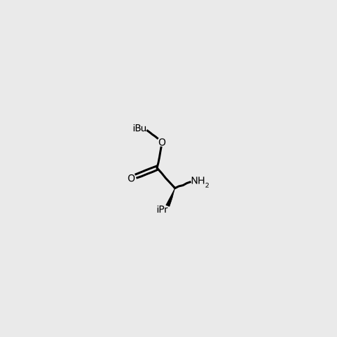 CCC(C)OC(=O)[C@@H](N)C(C)C